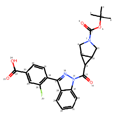 CC(C)(C)OC(=O)N1CC2C(C1)C2C(=O)n1nc(-c2ccc(C(=O)O)cc2F)c2ccccc21